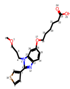 COCCCn1c(-c2ccsc2)nc2ccc(OCCCCCC(=O)O)cc21